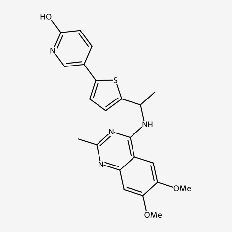 COc1cc2nc(C)nc(NC(C)c3ccc(-c4ccc(O)nc4)s3)c2cc1OC